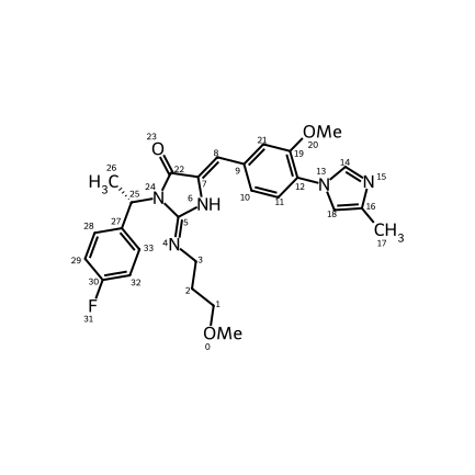 COCCC/N=C1\N/C(=C\c2ccc(-n3cnc(C)c3)c(OC)c2)C(=O)N1[C@@H](C)c1ccc(F)cc1